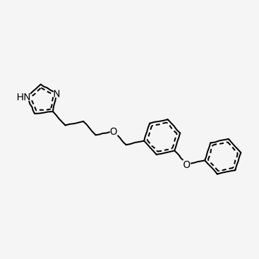 c1ccc(Oc2cccc(COCCCc3c[nH]cn3)c2)cc1